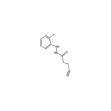 C#CCCC(=O)NNc1ccccc1C